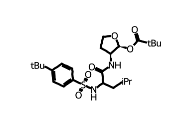 CC(C)CC(NS(=O)(=O)c1ccc(C(C)(C)C)cc1)C(=O)N[C@H]1CCO[C@H]1OC(=O)C(C)(C)C